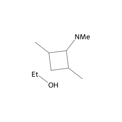 CCO.CNC1C(C)CC1C